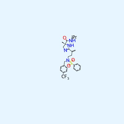 C=C(CCN(Cc1ccc(C(F)(F)F)cc1)S(=O)(=O)c1ccccc1)C1=NC[C@](C)(C(=O)NC(C)C)N1